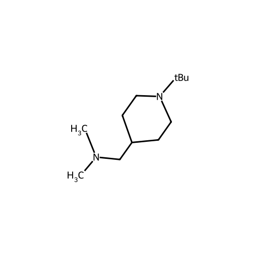 CN(C)CC1CCN(C(C)(C)C)CC1